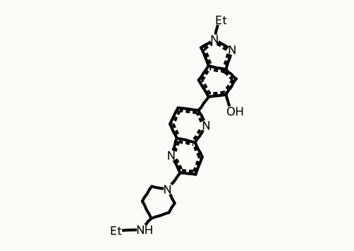 CCNC1CCN(c2ccc3nc(-c4cc5cn(CC)nc5cc4O)ccc3n2)CC1